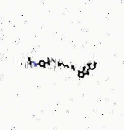 CN(CCNC(=O)CCCNC(=O)COc1cccc2c1C(=O)N(C1CCC(=O)NC1=O)C2=O)C(=O)c1ccc(/C(O)=C/C(=N)C(N)=O)cc1O